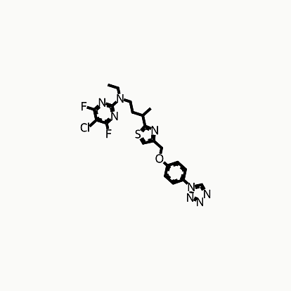 CCN(CCC(C)c1nc(COc2ccc(-n3cnnn3)cc2)cs1)c1nc(F)c(Cl)c(F)n1